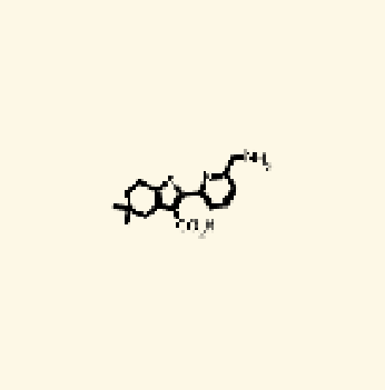 CC1(C)CCc2sc(-c3cccc(CN)n3)c(C(=O)O)c2C1